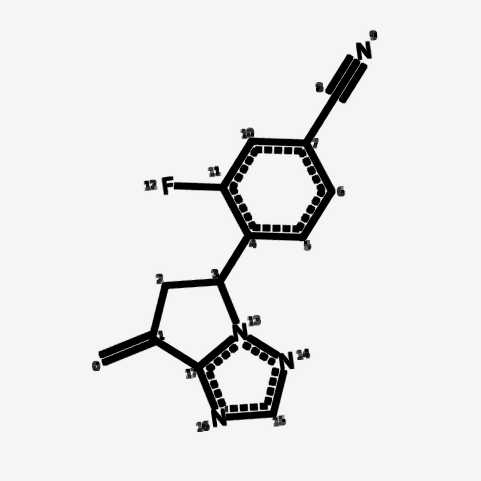 C=C1CC(c2ccc(C#N)cc2F)n2ncnc21